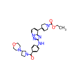 CCOC(=O)N1CC=C(c2cccn3nc(Nc4ccc(C(=O)N5CCC(N6CCOCC6)C5)cc4)nc23)CC1